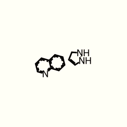 C1=CNNC1.c1ccc2ncccc2c1